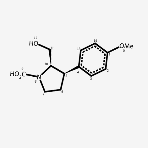 COc1ccc([C@H]2CCN(C(=O)O)[C@H]2CO)cc1